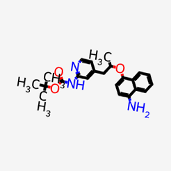 CC(Cc1ccnc(NC(=O)OC(C)(C)C)c1)Oc1ccc(N)c2ccccc12